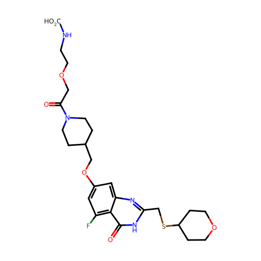 O=C(O)NCCOCC(=O)N1CCC(COc2cc(F)c3c(=O)[nH]c(CSC4CCOCC4)nc3c2)CC1